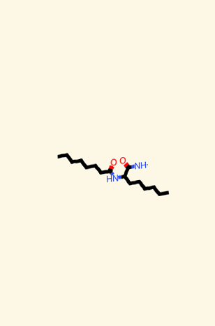 CCCCCCCC(=O)NC(CCCCCC)C([NH])=O